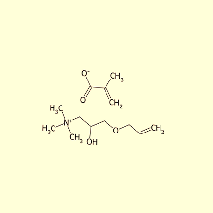 C=C(C)C(=O)[O-].C=CCOCC(O)C[N+](C)(C)C